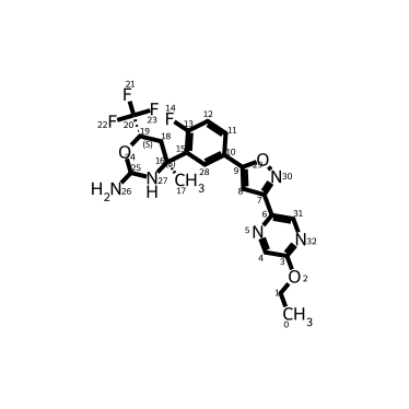 CCOc1cnc(-c2cc(-c3ccc(F)c([C@]4(C)C[C@@H](C(F)(F)F)OC(N)N4)c3)on2)cn1